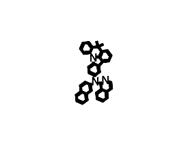 CC1(C)c2ccccc2-n2c3ccc(N(c4ccc5ccccc5c4)c4nccc5ccccc45)cc3c3cccc1c32